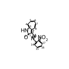 O=c1[nH]c2cccccc-2c1/N=N/c1ccccc1[N+](=O)[O-]